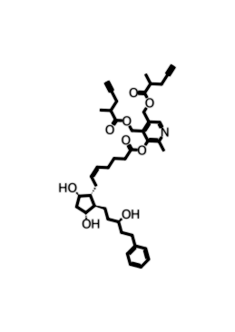 C#CCC(C)C(=O)OCc1cnc(C)c(OC(=O)CCC/C=C\C[C@@H]2[C@@H](CC[C@@H](O)CCc3ccccc3)[C@H](O)C[C@@H]2O)c1COC(=O)C(C)CC#C